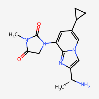 C[C@@H](N)c1cn2cc(C3CC3)cc(N3CC(=O)N(C)C3=O)c2n1